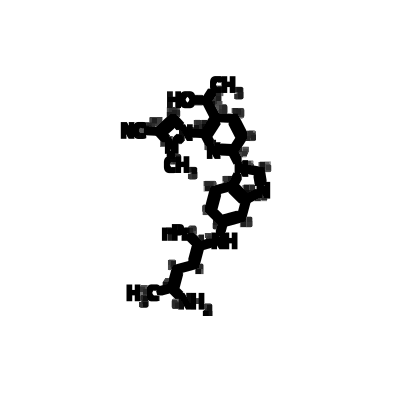 CCC/C(=C\C=C(\C)N)Nc1ccc2c(c1)ncn2-c1ccc(C(C)O)c(-n2cc(C#N)n2C)n1